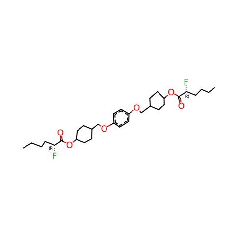 CCCC[C@@H](F)C(=O)OC1CCC(COc2ccc(OCC3CCC(OC(=O)[C@H](F)CCCC)CC3)cc2)CC1